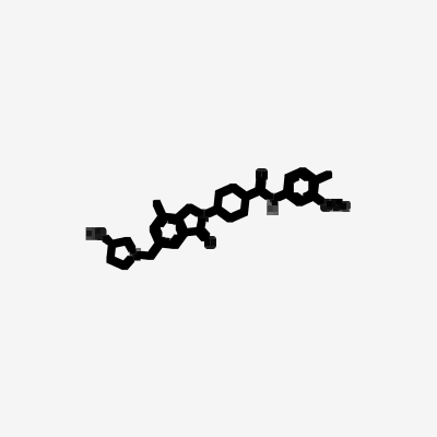 COc1cc(NC(=O)C2CCC(N3Cc4c(C)cc(CN5CC[C@@H](O)C5)cc4C3=O)CC2)ccc1C